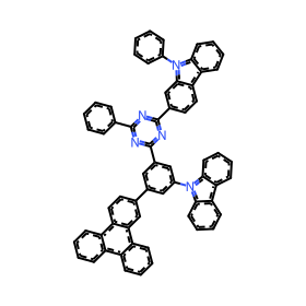 c1ccc(-c2nc(-c3cc(-c4ccc5c6ccccc6c6ccccc6c5c4)cc(-n4c5ccccc5c5ccccc54)c3)nc(-c3ccc4c5ccccc5n(-c5ccccc5)c4c3)n2)cc1